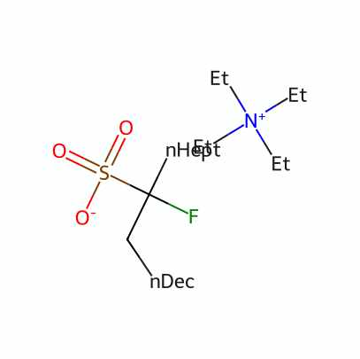 CCCCCCCCCCCC(F)(CCCCCCC)S(=O)(=O)[O-].CC[N+](CC)(CC)CC